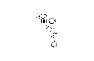 CC(C)(C)OC(=O)Nc1ccncc1C1(NCC(=O)OCc2ccccc2)CC1